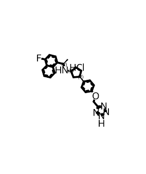 C[C@@H](N[C@H]1CC[C@@H](c2ccc(OCc3nn[nH]n3)cc2)C1)c1ccc(F)c2ccccc12.Cl